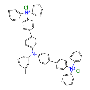 Cc1cccc(N(c2ccc(-c3ccc([N+](Cl)(c4ccccc4)c4ccccc4)cc3)cc2)c2ccc(-c3ccc([N+](Cl)(c4ccccc4)c4ccccc4)cc3)cc2)c1